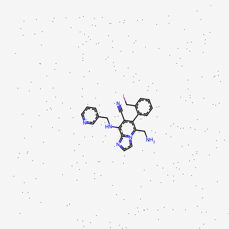 N#Cc1c(-c2ccccc2CI)c(CN)n2ccnc2c1NCc1cccnc1